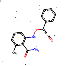 Cc1cccc(NOC(=C=O)c2ccccc2)c1C(N)=O